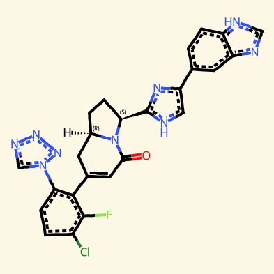 O=C1C=C(c2c(-n3cnnn3)ccc(Cl)c2F)C[C@H]2CC[C@@H](c3nc(-c4ccc5[nH]cnc5c4)c[nH]3)N12